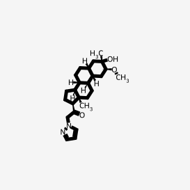 CO[C@H]1C[C@H]2[C@H](CC[C@@H]3[C@@H]2CC[C@]2(C)[C@@H](C(=O)Cn4cccn4)CC[C@@H]32)C[C@]1(C)O